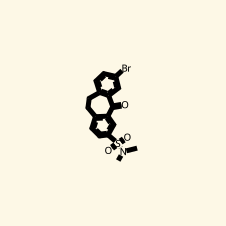 CN(C)S(=O)(=O)c1ccc2c(c1)C(=O)c1cc(Br)ccc1CC2